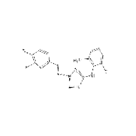 Cc1cccc(C)c1Nc1ncn(SCc2ccc(F)c(F)c2)n1